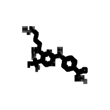 NCCCNc1nc(Nc2ccc(C(N)=O)cc2)ncc1C(F)(F)F